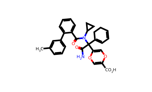 Cc1cccc(-c2ccccc2C(=O)N(C2CC2)C(C(N)=O)(C2=CC=CCC2)C2=COC(C(=O)O)=CO2)c1